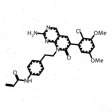 C=CC(=O)Nc1ccc(CCn2c(=O)c(-c3cc(OC)cc(OC)c3Cl)cc3cnc(N)nc32)cc1